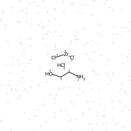 Cl.NCCO.[Cl][Zr][Cl]